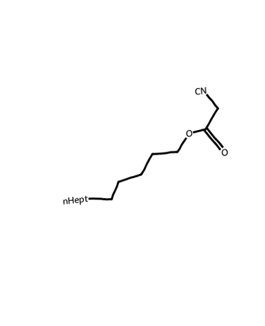 [C-]#[N+]CC(=O)OCCCCCCCCCCCC